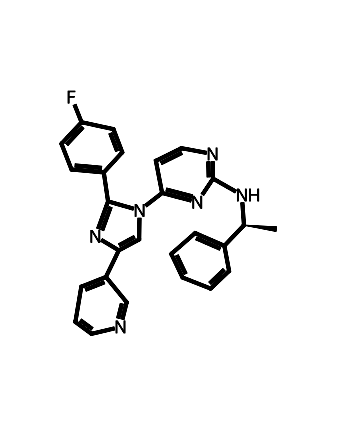 C[C@H](Nc1nccc(-n2cc(-c3cccnc3)nc2-c2ccc(F)cc2)n1)c1ccccc1